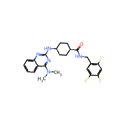 CN(C)c1nc(NC2CCC(C(=O)NCc3cc(F)c(F)cc3F)CC2)nc2ccccc12